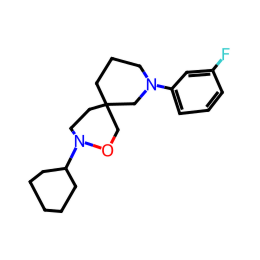 Fc1cccc(N2CCCC3(CCN(C4CCCCC4)OC3)C2)c1